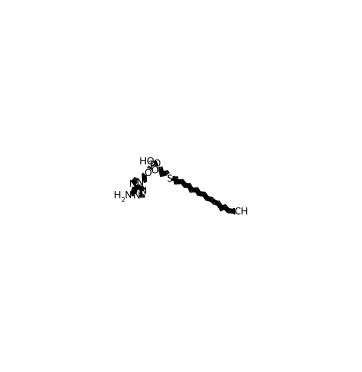 C#CCCCCCCCCCCCCCCCCSCCCOP(=O)(O)COCCn1cnc2c(N)ncnc21